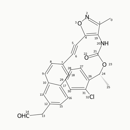 Cc1noc(C#Cc2ccc3cc(CC=O)ccc3c2)c1NC(=O)O[C@H](C)c1ccccc1Cl